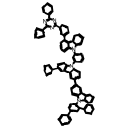 c1ccc(-c2ccc(-n3c4ccccc4c4cc(-c5ccc6c(c5)c5cc(-c7ccccc7)ccc5n6-c5cccc(-n6c7ccccc7c7c(-c8cccc(-c9nc(-c%10ccccc%10)nc(-c%10ccccc%10)n9)c8)cccc76)c5)ccc43)c(-c3ccccc3)c2)cc1